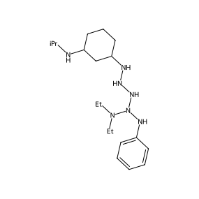 CCN(CC)N(NNNC1CCCC(NC(C)C)C1)Nc1ccccc1